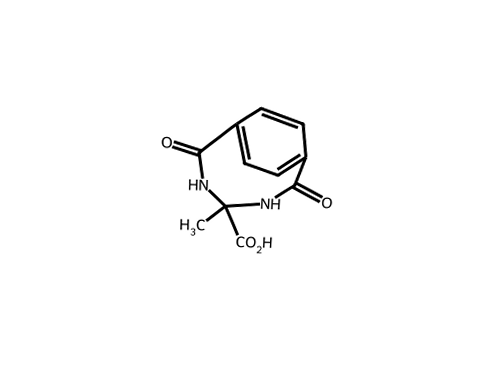 CC1(C(=O)O)NC(=O)c2ccc(cc2)C(=O)N1